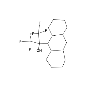 OC(C1C2CCCCC2CC2CCCCC21)(C(F)(F)F)C(F)(F)F